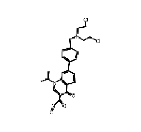 CC(C)n1cc(C(=O)N=O)c(=O)c2ccc(-c3ccc(CN(CCCl)CCCl)cc3)cc21